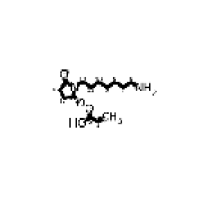 C=CC(=O)O.NCCCCCCCN1C(=O)CCC1=O